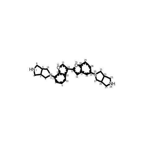 c1cc(N2CC3CNCC3C2)c2occ(-c3cc4cc(N5CC6CNCC6C5)ccc4o3)c2c1